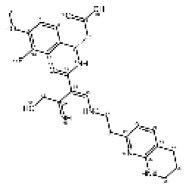 COc1ccc([C@H](CC(=O)O)NC(=O)/C(=C/NCCc2ccc3c(n2)NCCC3)C(=N)CO)cc1F